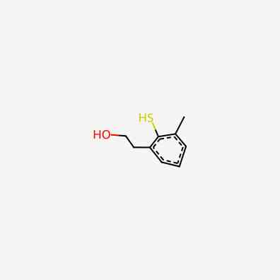 Cc1cccc(CCO)c1S